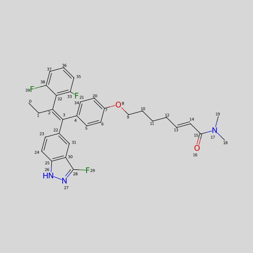 CC/C(=C(/c1ccc(OCCCC/C=C/C(=O)N(C)C)cc1)c1ccc2[nH]nc(F)c2c1)c1c(F)cccc1F